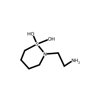 NCCN1CCCCS1(O)O